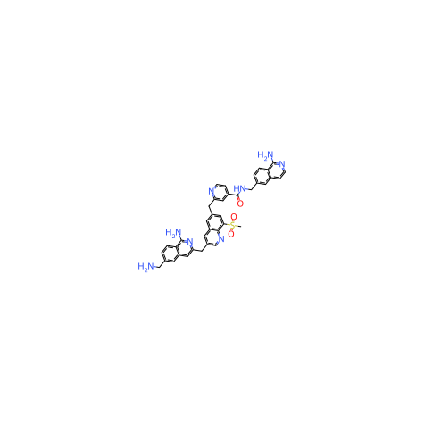 CS(=O)(=O)c1cc(Cc2cc(C(=O)NCc3ccc4c(N)nccc4c3)ccn2)cc2cc(Cc3cc4cc(CN)ccc4c(N)n3)cnc12